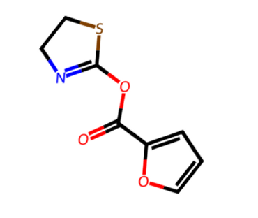 O=C(OC1=NCCS1)c1ccco1